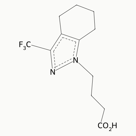 O=C(O)CCCn1nc(C(F)(F)F)c2c1CCCC2